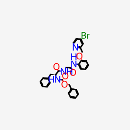 O=C(CNC(=O)[C@H](Cc1ccccc1)NC(=O)OCc1ccccc1)Nc1ccccc1OCc1cc(Br)ccn1